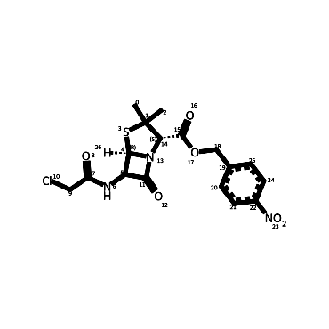 CC1(C)S[C@@H]2C(NC(=O)CCl)C(=O)N2[C@H]1C(=O)OCc1ccc([N+](=O)[O-])cc1